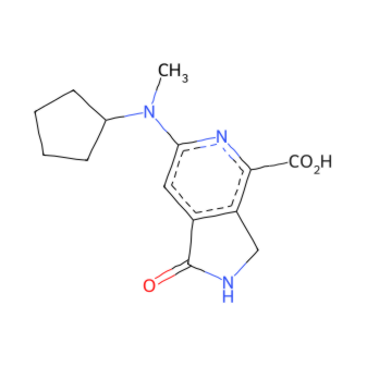 CN(c1cc2c(c(C(=O)O)n1)CNC2=O)C1CCCC1